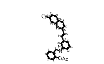 CC(=O)Oc1ccccc1CNc1cccc(C=Cc2ccc3ccc(Cl)cc3n2)c1